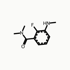 CNc1cccc(C(=O)N(C)C)c1F